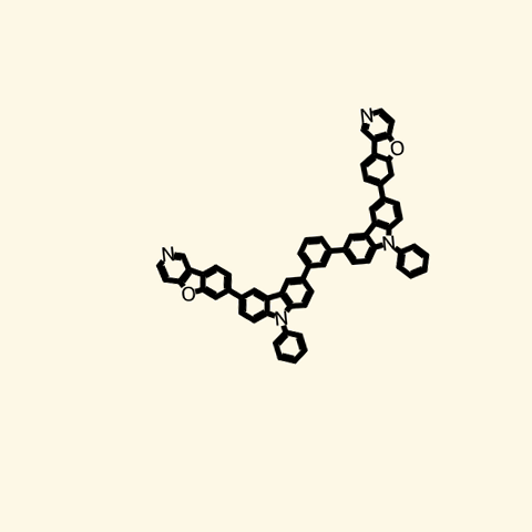 C1=C(c2ccc3c(c2)c2cc(-c4cccc(-c5ccc6c(c5)c5cc(-c7ccc8c(c7)oc7ccncc78)ccc5n6-c5ccccc5)c4)ccc2n3-c2ccccc2)CC2Oc3ccncc3C2=C1